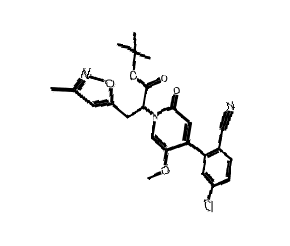 COc1cn(C(Cc2cc(C)no2)C(=O)OC(C)(C)C)c(=O)cc1-c1cc(Cl)ccc1C#N